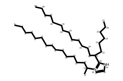 CCCCCCCCCCCCCCC(C)[n+]1cc[nH]c1C(CCCCCC)CCCCCCCCCCCCC